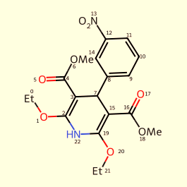 CCOC1=C(C(=O)OC)C(c2cccc([N+](=O)[O-])c2)C(C(=O)OC)=C(OCC)N1